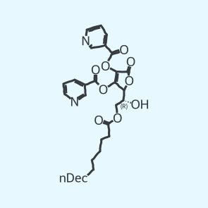 CCCCCCCCCCCCCCCC(=O)OC[C@@H](O)C1OC(=O)C(OC(=O)c2cccnc2)=C1OC(=O)c1cccnc1